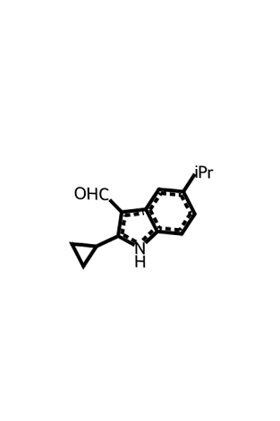 CC(C)c1ccc2[nH]c(C3CC3)c(C=O)c2c1